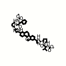 COC(=O)N[C@H](C(=O)N1CCC[C@H]1c1ncc(-c2ccc3c(c2)COc2c-3ccc3cc(-c4cnc([C@@H]5CCCN5C(=O)[C@H](NC(=O)OC)c5ccccc5)[nH]4)ccc23)[nH]1)C(C)C